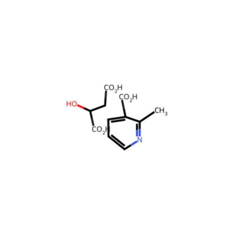 Cc1ncccc1C(=O)O.O=C(O)CC(O)C(=O)O